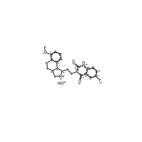 COc1cccc2c1CCC1CNC(CCn3c(=O)[nH]c4ccc(F)cc4c3=O)C21.Cl